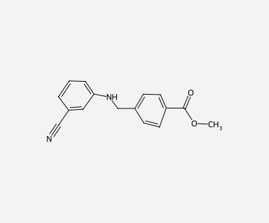 COC(=O)c1ccc(CNc2cccc(C#N)c2)cc1